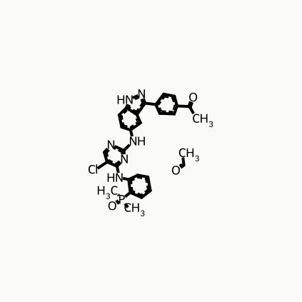 CC(=O)c1ccc(-c2n[nH]c3ccc(Nc4ncc(Cl)c(Nc5ccccc5P(C)(C)=O)n4)cc23)cc1.CC=O